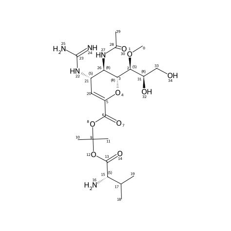 CO[C@H]([C@@H]1OC(C(=O)OC(C)(C)OC(=O)[C@@H](N)C(C)C)=C[C@H](NC(=N)N)[C@H]1NC(C)=O)[C@H](O)CO